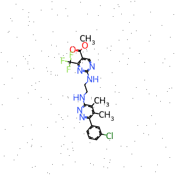 COC(=O)c1cnc(NCCNc2nnc(-c3cccc(Cl)c3)c(C)c2C)nc1C(F)(F)F